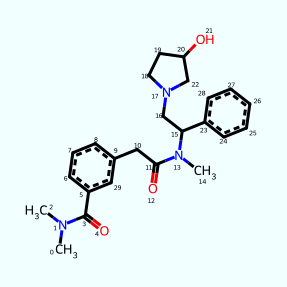 CN(C)C(=O)c1cccc(CC(=O)N(C)C(CN2CCC(O)C2)c2ccccc2)c1